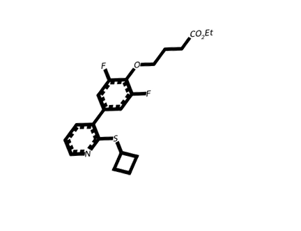 CCOC(=O)CCCOc1c(F)cc(-c2cccnc2SC2CCC2)cc1F